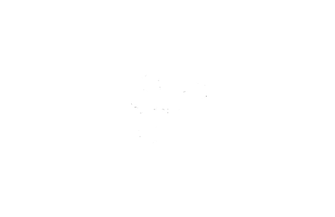 Cc1ccc([C@@H](N)[C@H](NS(=O)(=O)c2ccc(C)cc2)c2ccc(C)cc2)cc1